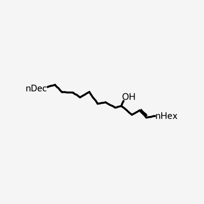 CCCCCCC=CCC(O)CCCCCCCCCCCCCCCCCC